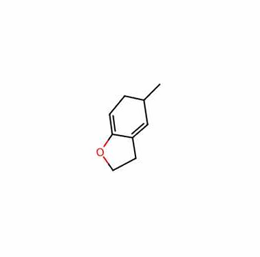 CC1C=C2CCOC2=CC1